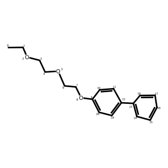 CCOCCOCCOc1ccc(-c2ccccc2)cc1